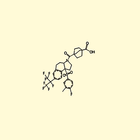 Cc1cc(S(=O)(=O)C23CCN(C(=O)C45CCC(C(=O)O)(CC4)CC5)C2CCc2cc(C(F)(C(F)(F)F)C(F)(F)F)ccc23)ccc1F